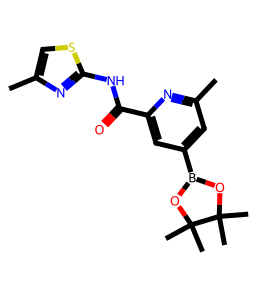 Cc1cc(B2OC(C)(C)C(C)(C)O2)cc(C(=O)Nc2nc(C)cs2)n1